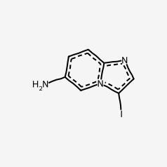 Nc1ccc2ncc(I)n2c1